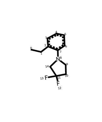 CCc1ccccc1N1CCC(F)(F)C1